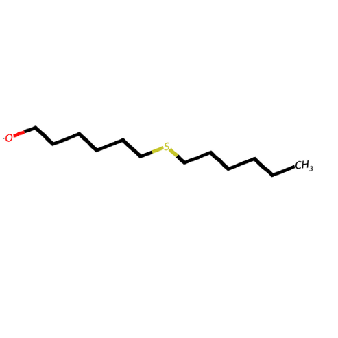 CCCCCCSCCCCCC[O]